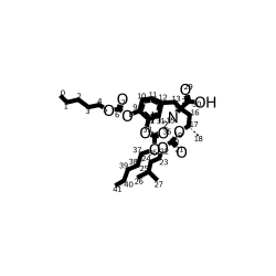 CCCCCOC(=O)Oc1ccc(CC(N)(C[C@H](C)OC(=O)OCCC(C)C)C(=O)O)cc1OC(=O)OCCCCC